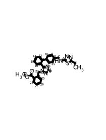 CCc1nnc(NCc2ccc(-c3ccccc3-c3nnnn3Cc3ccccc3C(=O)OC)cc2)s1